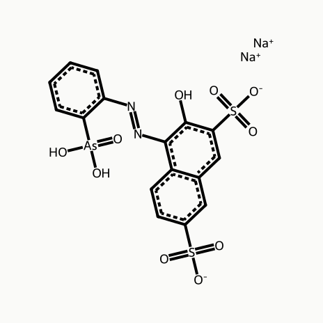 O=S(=O)([O-])c1ccc2c(N=Nc3ccccc3[As](=O)(O)O)c(O)c(S(=O)(=O)[O-])cc2c1.[Na+].[Na+]